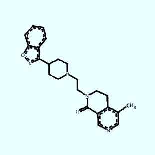 Cc1cncc2c1CCN(CCN1CCC(c3noc4ccccc34)CC1)C2=O